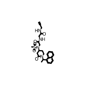 C#CCNC(=O)CNC(=O)CN(C1CCN(C(C)c2cccc3ccccc23)C(=O)C1)S(C)(=O)=O